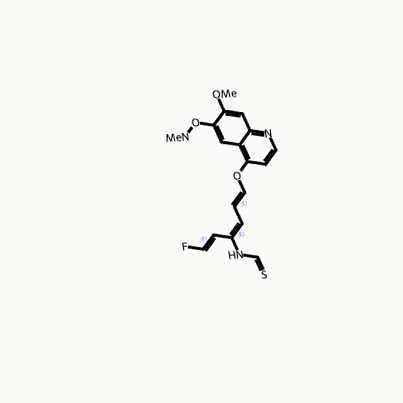 CNOc1cc2c(O/C=C/C=C(\C=C\F)NC=S)ccnc2cc1OC